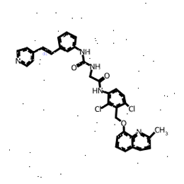 Cc1ccc2cccc(OCc3c(Cl)ccc(NC(=O)CNC(=O)Nc4cccc(/C=C/c5ccncc5)c4)c3Cl)c2n1